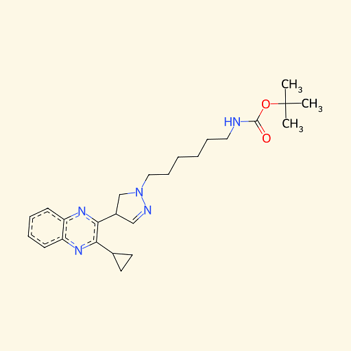 CC(C)(C)OC(=O)NCCCCCCN1CC(c2nc3ccccc3nc2C2CC2)C=N1